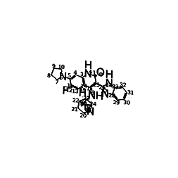 O=c1[nH]c2cc(N3CCCC3)c(F)cc2c(N[C@H]2CN3CCC2CC3)c1-c1nc2ccccc2[nH]1